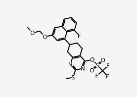 COCOc1cc(C2CCc3c(nc(SC)nc3OS(=O)(=O)C(F)(F)F)C2)c2c(F)cccc2c1